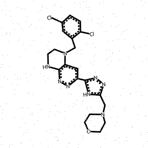 Clc1ccc(Cl)c(CN2CCNc3nnc(-c4nnc(CN5CCOCC5)[nH]4)cc32)c1